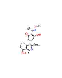 CCC/C(=N\OCC)C1=C(O)CC(c2c(OC)nc(C)c3c2CCCC3O)CC1=O